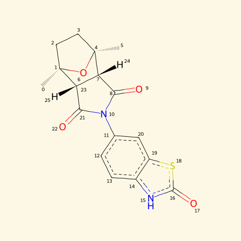 C[C@]12CC[C@](C)(O1)[C@@H]1C(=O)N(c3ccc4[nH]c(=O)sc4c3)C(=O)[C@@H]12